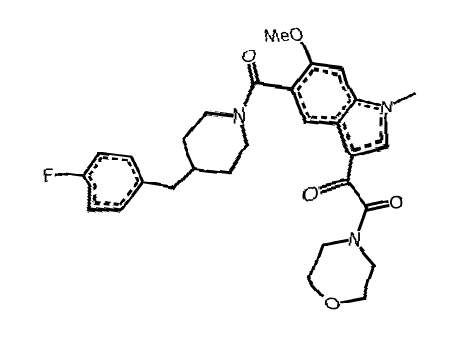 COc1cc2c(cc1C(=O)N1CCC(Cc3ccc(F)cc3)CC1)c(C(=O)C(=O)N1CCOCC1)cn2C